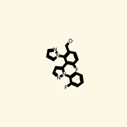 [O]Cc1ccc(F)c(-c2ccnn2-c2ccccc2F)c1-n1cccn1